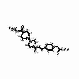 COC(=O)CN1CCC(CCC(=O)N2CCN(N3CCC(C(=O)OC(C)(C)C)CC3)CC2)CC1